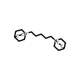 C(CC[N+]12CCC(CC1)CC2)CC[N+]12CCC(CC1)CC2